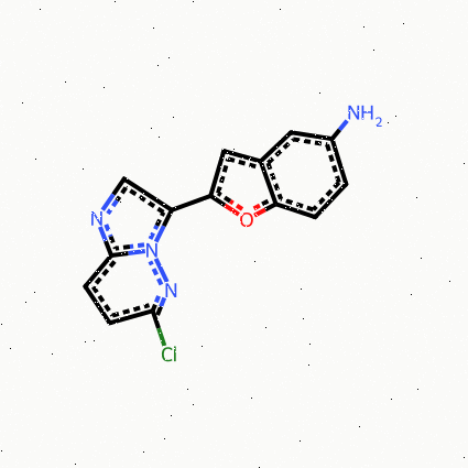 Nc1ccc2oc(-c3cnc4ccc(Cl)nn34)cc2c1